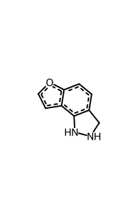 c1cc2c3c(ccc2o1)CNN3